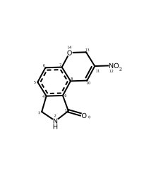 O=C1NCc2ccc3c(c21)C=C([N+](=O)[O-])CO3